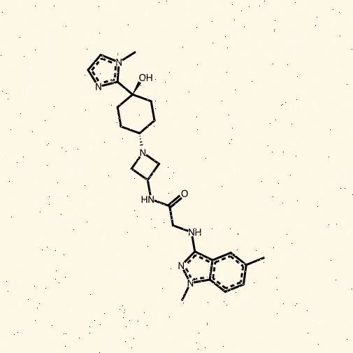 Cc1ccc2c(c1)c(NCC(=O)NC1CN([C@H]3CC[C@@](O)(c4nccn4C)CC3)C1)nn2C